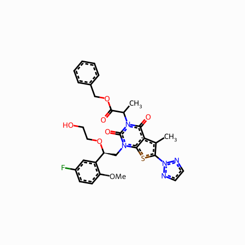 COc1ccc(F)cc1[C@H](Cn1c(=O)n(C(C)C(=O)OCc2ccccc2)c(=O)c2c(C)c(-n3nccn3)sc21)OCCO